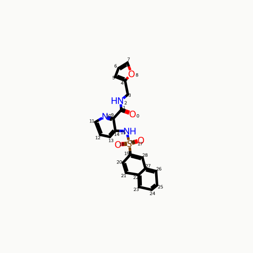 O=C(NCc1ccco1)c1ncccc1NS(=O)(=O)c1ccc2ccccc2c1